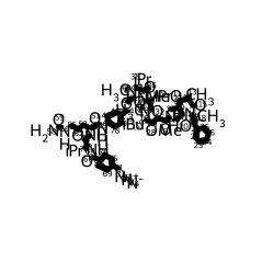 CC[C@H](C)[C@@H]([C@@H](CC(=O)N1CCC([C@H](OC)[C@@H](C)C(=O)N[C@H](C)[C@@H](O)c2ccccc2)C1)OC)N(C)C(=O)[C@@H](NC(=O)[C@H](C(C)C)N(C)C(=O)OCc1ccc(NC(=O)C(CCCNC(N)=O)NC(=O)C(NC(=O)c2ccc(CN=[N+]=[N-])cc2)C(C)C)cc1)C(C)C